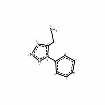 NCc1nnnn1-c1ccccc1